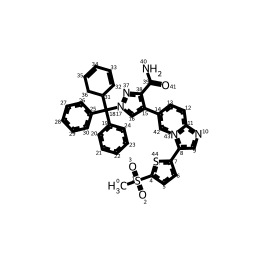 CS(=O)(=O)c1ccc(-c2cnc3ccc(-c4cn(C(c5ccccc5)(c5ccccc5)C5C=CC=CC5)nc4C(N)=O)cn23)s1